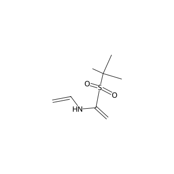 C=CNC(=C)S(=O)(=O)C(C)(C)C